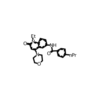 CCCc1ccc(C(=O)Nc2ccc3c(c2)c(N2CCOCC2)cc(=O)n3CC)cc1